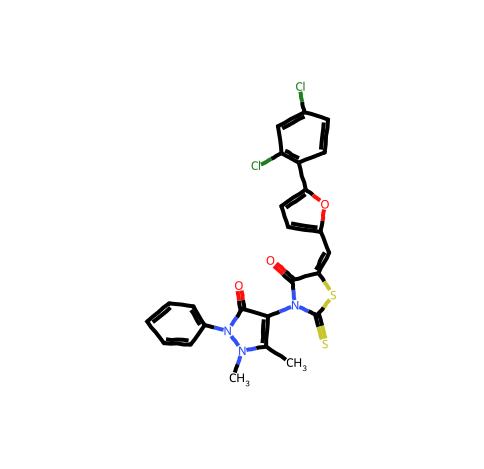 Cc1c(N2C(=O)C(=Cc3ccc(-c4ccc(Cl)cc4Cl)o3)SC2=S)c(=O)n(-c2ccccc2)n1C